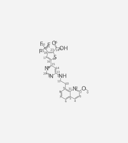 COc1ccc2cccc(CCNc3cc(-c4cc(C(F)(F)F)c(C(=O)O)s4)ncn3)c2n1